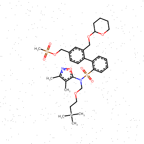 Cc1noc(N(COCC[Si](C)(C)C)S(=O)(=O)c2ccccc2-c2ccc(COS(C)(=O)=O)cc2COC2CCCCO2)c1C